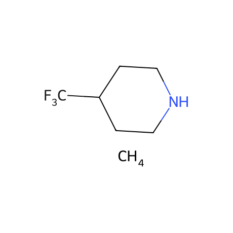 C.FC(F)(F)C1CCNCC1